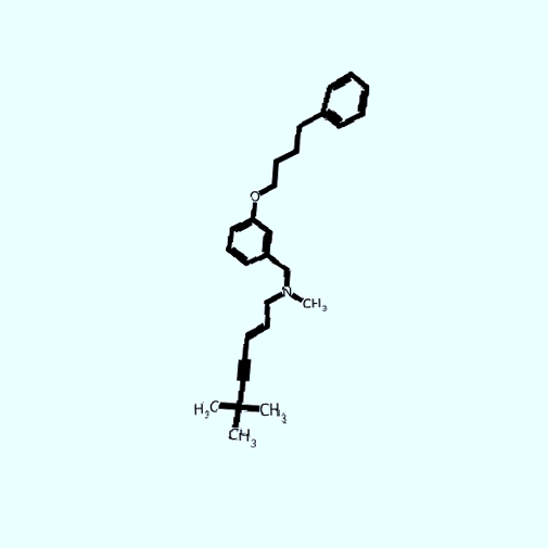 CN(CC=CC#CC(C)(C)C)Cc1cccc(OCCCCc2ccccc2)c1